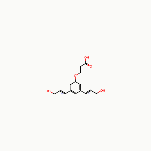 O=C(O)CCOC1C=C(/C=C/CO)C=C(/C=C/CO)C1